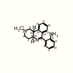 CN1CC[C@H]2N=C(c3ccccc3N)c3ccccc3[C@H]2C1